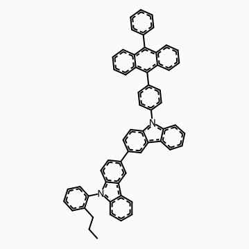 CCCc1ccccc1-n1c2ccccc2c2cc(-c3ccc4c(c3)c3ccccc3n4-c3ccc(-c4c5ccccc5c(-c5ccccc5)c5ccccc45)cc3)ccc21